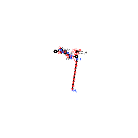 CC[C@H](C)[C@@H]([C@@H](CC(=O)N1CCC[C@H]1[C@H](OC)[C@@H](C)C(=O)N[C@H](C)[C@@H](O)c1ccccc1)OC)N(C)C(=O)[C@@H](NC(=O)[C@H](C(C)C)N(C)C(=O)OCc1cc(NC(=O)COCCOCCOCCOCCOCCOCCOCCOCCON)ccc1O[C@@H]1OC(C(=O)O)[C@@H](O)[C@H](O)C1O)C(C)C